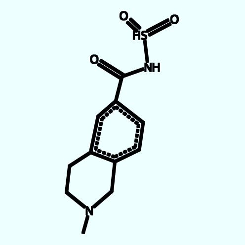 CN1CCc2cc(C(=O)N[SH](=O)=O)ccc2C1